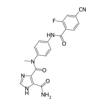 CN(C(=O)c1nc[nH]c1C(N)=O)c1ccc(NC(=O)c2ccc(C#N)cc2F)cc1